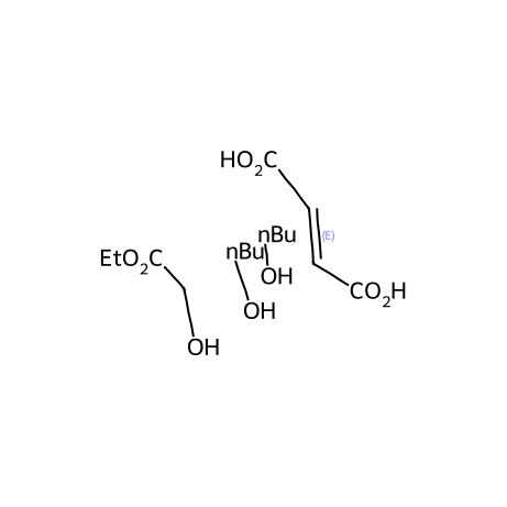 CCCCO.CCCCO.CCOC(=O)CO.O=C(O)/C=C/C(=O)O